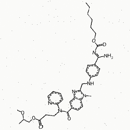 CCCCCCOC(=O)N=C(N)c1ccc(NCc2nc3cc(C(=O)N(CCC(=O)OCC(C)OC)c4ccccn4)ccc3n2C)cc1